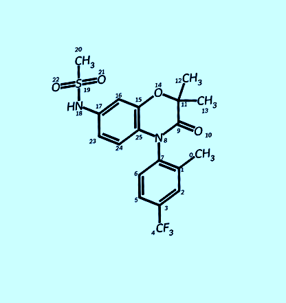 Cc1cc(C(F)(F)F)ccc1N1C(=O)C(C)(C)Oc2cc(NS(C)(=O)=O)ccc21